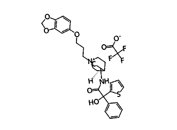 O=C(N[C@H]1C[N+]2(CCCOc3ccc4c(c3)OCO4)CCC1CC2)C(O)(c1ccccc1)c1cccs1.O=C([O-])C(F)(F)F